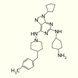 Cc1ccc(CC2CCN(Nc3nc(NC4CCC(N)CC4)nc4c3ncn4C3CCCC3)CC2)cc1